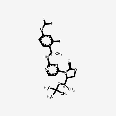 C[C@H](Nc1nccc(N2C(=O)OCC2[C@@H](C)OC(C)(C)C)n1)c1ccc(OC(F)F)cc1F